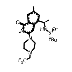 Cc1cc([C@@H](C)N[S@+]([O-])C(C)(C)C)c2cc(N3CCN(CC(F)(F)F)CC3)n(C)c(=O)c2c1